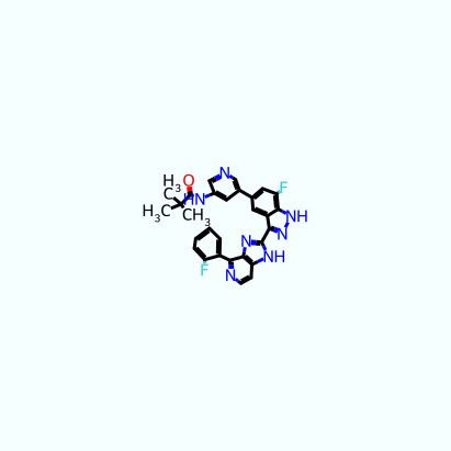 CC(C)(C)C(=O)Nc1cncc(-c2cc(F)c3[nH]nc(-c4nc5c(-c6ccccc6F)nccc5[nH]4)c3c2)c1